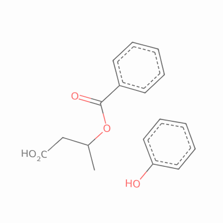 CC(CC(=O)O)OC(=O)c1ccccc1.Oc1ccccc1